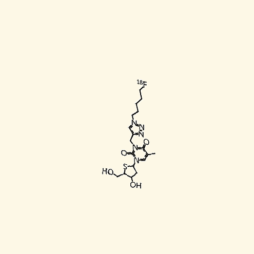 Cc1cn(C2CC(O)[C@@H](CO)S2)c(=O)n(Cc2cn(CCCCC[18F])nn2)c1=O